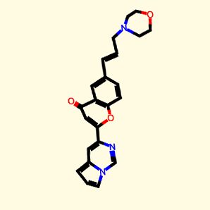 O=c1cc(-c2cc3cccn3cn2)oc2ccc(C=CCN3CCOCC3)cc12